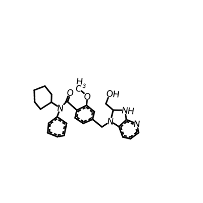 COc1cc(CN2c3cccnc3NC2CO)ccc1C(=O)N(c1ccccc1)C1CCCCC1